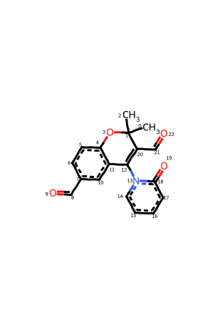 CC1(C)Oc2ccc(C=O)cc2C(n2ccccc2=O)=C1C=O